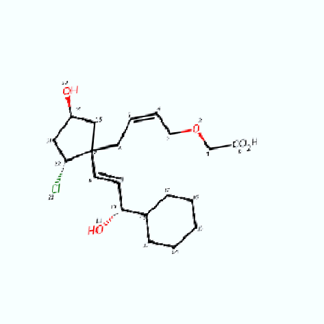 O=C(O)COC/C=C\CC1(C=C[C@@H](O)C2CCCCC2)C[C@H](O)C[C@H]1Cl